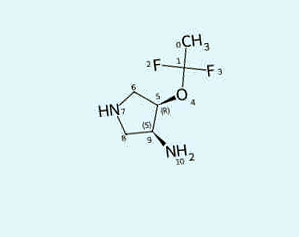 CC(F)(F)O[C@@H]1CNC[C@@H]1N